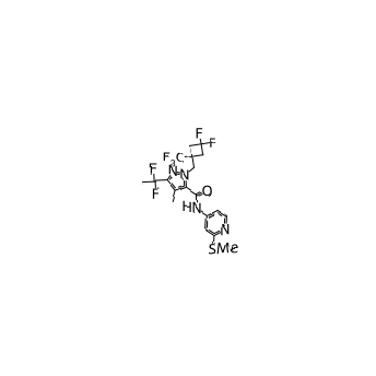 CSc1cc(NC(=O)c2c(C)c(C(C)(F)F)nn2CC2(C(F)(F)F)CC(F)(F)C2)ccn1